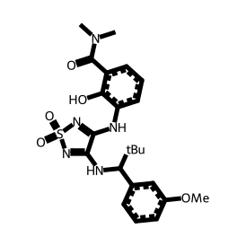 COc1cccc(C(NC2=NS(=O)(=O)N=C2Nc2cccc(C(=O)N(C)C)c2O)C(C)(C)C)c1